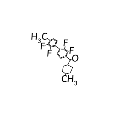 Cc1ccc(-c2ccc(C(=O)C3CCC(C)CC3)c(F)c2F)c(F)c1F